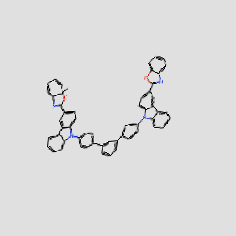 CC12C=CC=CC1N=C(c1ccc3c(c1)c1ccccc1n3-c1ccc(-c3cccc(-c4ccc(-n5c6ccccc6c6cc(-c7nc8ccccc8o7)ccc65)cc4)c3)cc1)O2